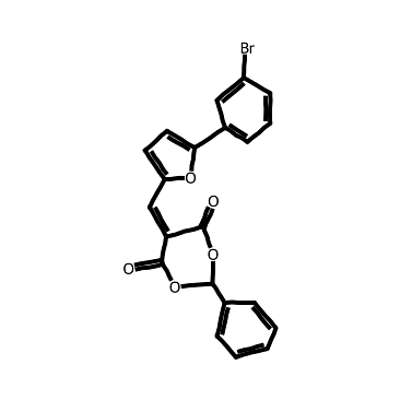 O=C1OC(c2ccccc2)OC(=O)C1=Cc1ccc(-c2cccc(Br)c2)o1